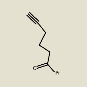 C#CCCCC(=O)C(C)C